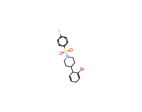 O=S(=O)(c1ccc(F)cc1)N1CCC(C2C=CCC=C2Br)CC1